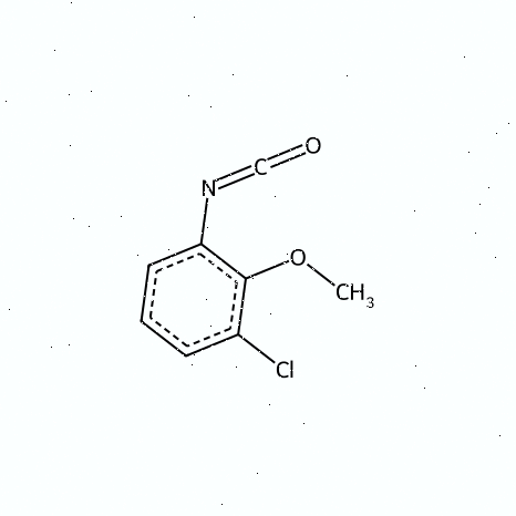 COc1c(Cl)cccc1N=C=O